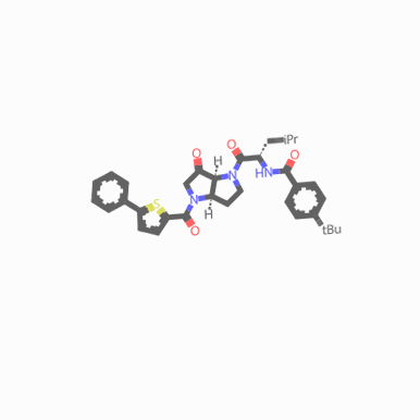 CC(C)C[C@H](NC(=O)c1ccc(C(C)(C)C)cc1)C(=O)N1CC[C@@H]2[C@H]1C(=O)CN2C(=O)c1ccc(-c2ccccc2)s1